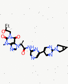 CCC(=O)Cn1c(=O)c2c(ncn2[C@@H](C)C(=O)Nc2cncc(-c3cnc(N4CC5CC5C4)nc3)n2)n(C)c1=O